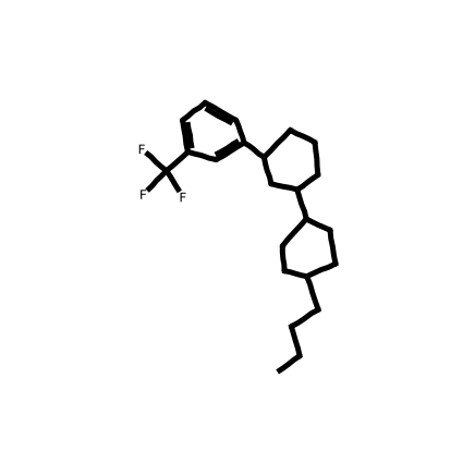 CCCCC1CCC(C2CCCC(c3cccc(C(F)(F)F)c3)C2)CC1